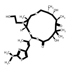 C/C(=C\c1csc(N(C)C)n1)[C@@H]1C[C@@H]2N(CCO)[C@]2(C)CCC[C@H](C)[C@H](O)[C@@H](C)C(=O)C(C)(C)[C@@H](O)CC(=O)O1